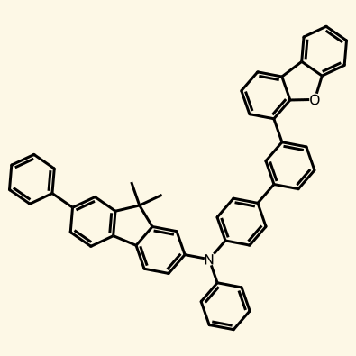 CC1(C)c2cc(-c3ccccc3)ccc2-c2ccc(N(c3ccccc3)c3ccc(-c4cccc(-c5cccc6c5oc5ccccc56)c4)cc3)cc21